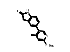 CC(=O)Nc1cc(C)c(-c2ccc3c(c2)CC(=O)N3)cn1